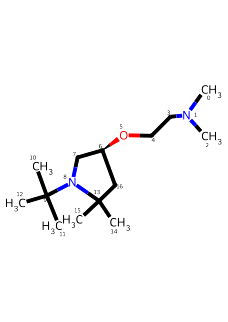 CN(C)CCO[C@@H]1CN(C(C)(C)C)C(C)(C)C1